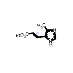 CCOC(=O)/C=C/c1[nH]cnc1C